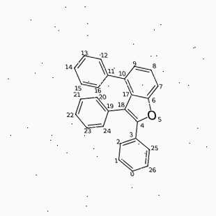 c1ccc(-c2oc3cccc(-c4ccccc4)c3c2-c2ccccc2)cc1